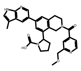 COCc1cc(C(=O)N2CCc3cc(-c4cnc5[nH]cc(C)c5c4)cc(C4CCCN4C(=O)O)c3C2)ccn1